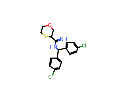 N=C(NC(c1ccc(Cl)cc1)c1ccc(Cl)cc1)C1COCCS1